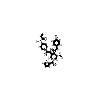 C=CC(=O)NC1CCN(C(=O)c2nn(Cc3ccc(F)cc3)c3c2CN(C(=O)c2ccc[nH]2)C[C@H]3CC)CC1